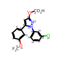 O=C(O)Oc1cc(-c2cccc(OC(F)(F)F)c2)n(-c2cccc(Cl)c2)n1